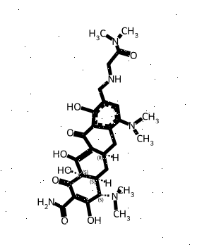 CN(C)C(=O)CNCc1cc(N(C)C)c2c(c1O)C(=O)C1=C(O)[C@]3(O)C(=O)C(C(N)=O)=C(O)[C@@H](N(C)C)[C@@H]3C[C@@H]1C2